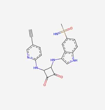 C#Cc1ccc(NC2C(=O)C(=O)C2Nc2c[nH]c3ccc(S(C)(=N)=O)cc23)nc1